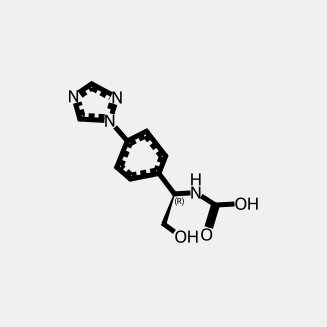 O=C(O)N[C@@H](CO)c1ccc(-n2cncn2)cc1